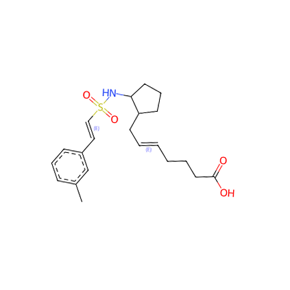 Cc1cccc(/C=C/S(=O)(=O)NC2CCCC2C/C=C/CCCC(=O)O)c1